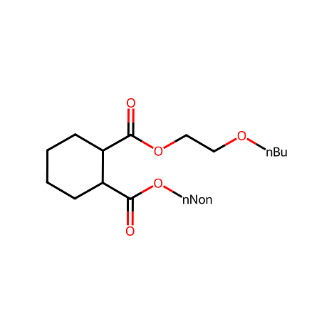 CCCCCCCCCOC(=O)C1CCCCC1C(=O)OCCOCCCC